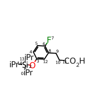 CC(C)[Si](Oc1ccc(F)c(CCC(=O)O)c1)(C(C)C)C(C)C